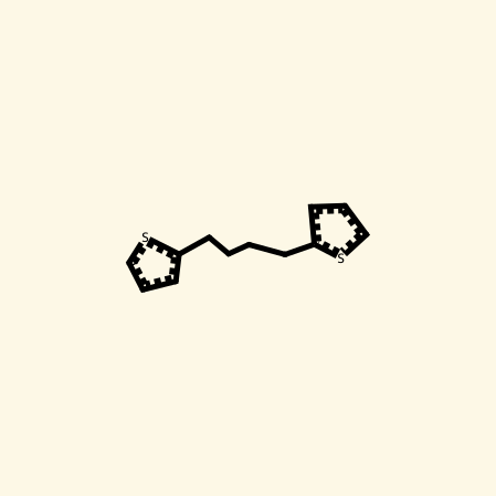 [CH](CCc1cccs1)Cc1cccs1